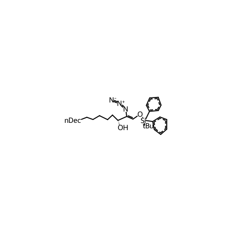 CCCCCCCCCCCCCCC[C@@H](O)C(=CO[Si](c1ccccc1)(c1ccccc1)C(C)(C)C)N=[N+]=[N-]